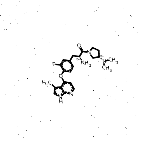 Cc1c[nH]c2nccc(Oc3ccc(C[C@H](N)C(=O)N4CC[C@H](N(C)C)C4)cc3F)c12